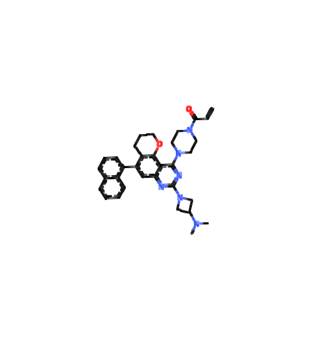 C=CC(=O)N1CCN(c2nc(N3CC(N(C)C)C3)nc3cc(-c4cccc5ccccc45)c4c(c23)OCCC4)CC1